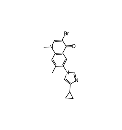 Cc1cc2c(cc1-n1cnc(C3CC3)c1)c(=O)c(Br)cn2C